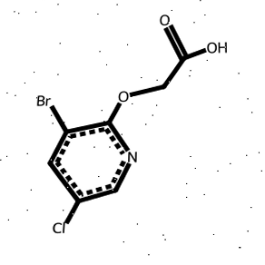 O=C(O)COc1ncc(Cl)cc1Br